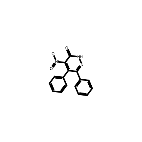 O=c1[nH]nc(-c2ccccc2)c(-c2ccccc2)c1[N+](=O)[O-]